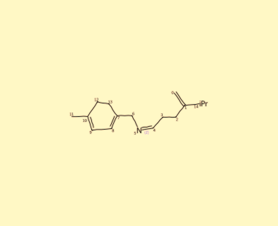 C=C(CC/C=N\CC1=CC=C(C)CC1)C(C)C